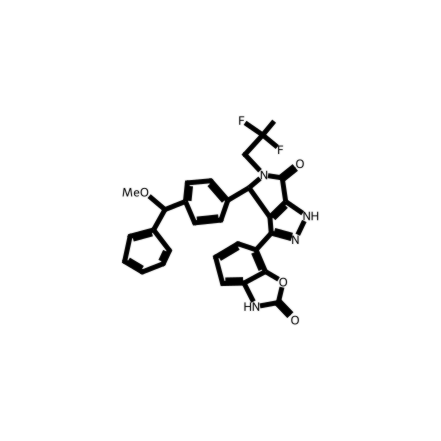 COC(c1ccccc1)c1ccc(C2c3c(-c4cccc5[nH]c(=O)oc45)n[nH]c3C(=O)N2CC(C)(F)F)cc1